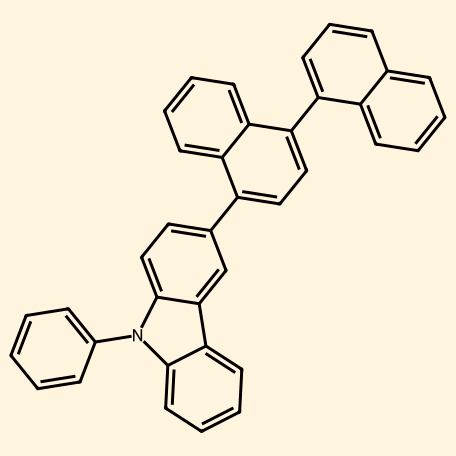 c1ccc(-n2c3ccccc3c3cc(-c4ccc(-c5cccc6ccccc56)c5ccccc45)ccc32)cc1